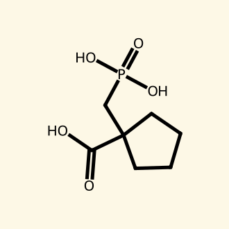 O=C(O)C1(CP(=O)(O)O)CCCC1